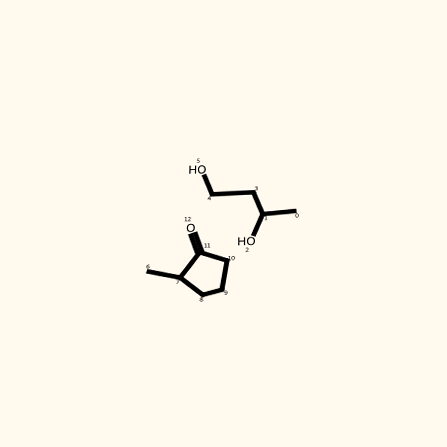 CC(O)CCO.CC1CCCC1=O